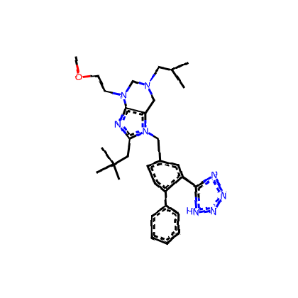 COCCN1CN(CC(C)C)Cc2c1nc(CC(C)(C)C)n2Cc1ccc(-c2ccccc2)c(-c2nnn[nH]2)c1